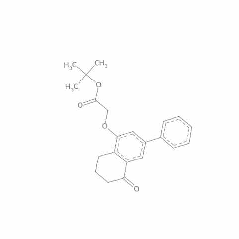 CC(C)(C)OC(=O)COc1cc(-c2ccccc2)cc2c1CCCC2=O